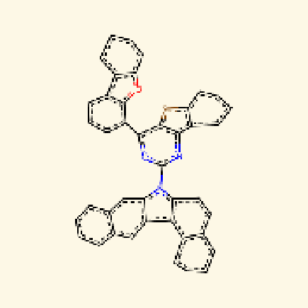 c1ccc2cc3c(cc2c1)c1c2ccccc2ccc1n3-c1nc(-c2cccc3c2oc2ccccc23)c2sc3ccccc3c2n1